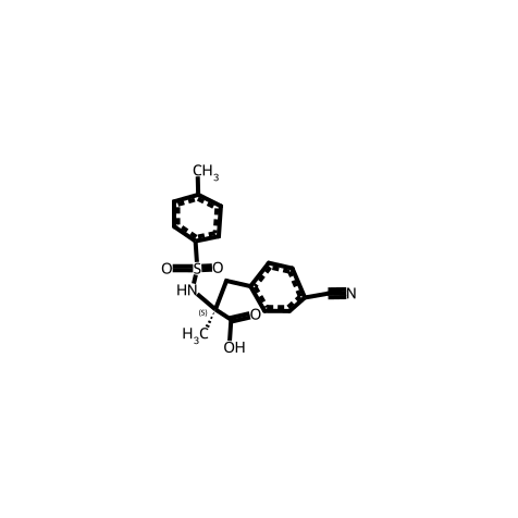 Cc1ccc(S(=O)(=O)N[C@@](C)(Cc2ccc(C#N)cc2)C(=O)O)cc1